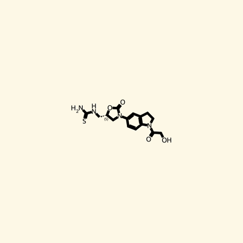 NC(=S)NC[C@H]1CN(c2ccc3c(c2)CCN3C(=O)CO)C(=O)O1